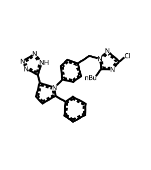 CCCCc1nc(Cl)nn1Cc1ccc(-n2c(-c3ccccc3)ccc2-c2nnn[nH]2)cc1